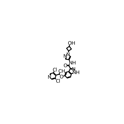 CC(Oc1ccc2[nH]nc(C(=O)Nc3cnn(C4CC(O)C4)c3)c2c1)c1c(Cl)cncc1Cl